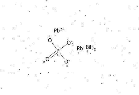 O=P([O-])([O-])[O-].[BiH3].[Pb+2].[Rb+]